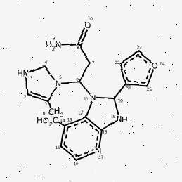 CC1=CNCN1C(CC(N)=O)N1c2c(C(=O)O)ccnc2NC1c1ccoc1